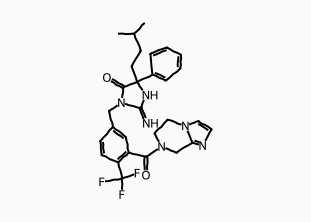 CC(C)CCC1(c2ccccc2)NC(=N)N(Cc2ccc(C(F)(F)F)c(C(=O)N3CCn4ccnc4C3)c2)C1=O